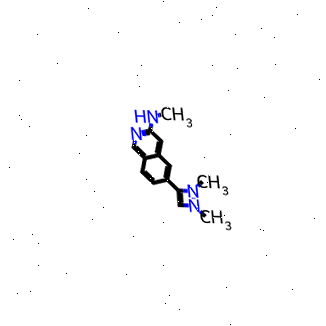 CNc1cc2cc(-c3cn(C)n3C)ccc2cn1